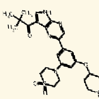 CN1CCC(Oc2cc(-c3cnc4[nH]cc(C(=O)C(C)(C)C)c4n3)cc(N3CCS(=O)(=O)CC3)c2)CC1